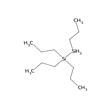 CCC[SiH2][Si](CCC)(CCC)CCC